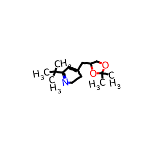 CC1(C)OCC(CC2=CC(C(C)(C)C)=NCC2)O1